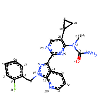 CCCN(C(N)=O)c1nc(-c2nn(Cc3ccccc3F)c3ncccc23)ncc1C1CC1